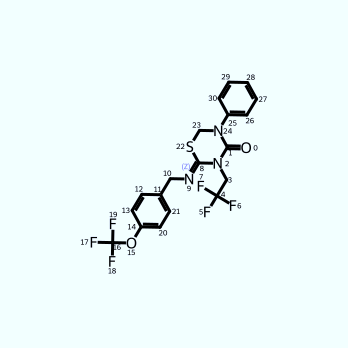 O=C1N(CC(F)(F)F)/C(=N/Cc2ccc(OC(F)(F)F)cc2)SCN1c1ccccc1